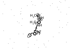 COc1cc(S(=O)(=O)Nc2cc(C)on2)ccc1NCC#Cc1cc2c(CC3CCOCC3)cccc2n1CC(F)(F)F